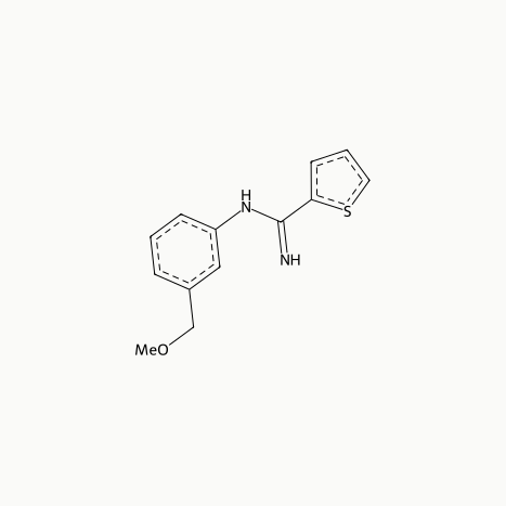 COCc1cccc(NC(=N)c2cccs2)c1